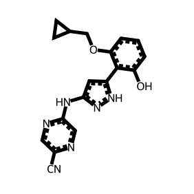 N#Cc1cnc(Nc2cc(-c3c(O)cccc3OCC3CC3)[nH]n2)cn1